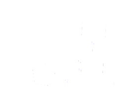 CC1(Nc2cc(I)cc(N3CCOCC3)n2)CCOC1